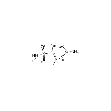 CNS(=O)(=O)c1ccc(N)cc1C